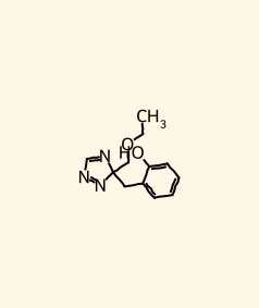 CCOCC1(Cc2ccccc2O)N=CN=N1